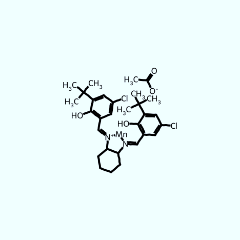 CC(=O)[O-].CC(C)(C)c1cc(Cl)cc(C=[N+]2[Mn][N+](=Cc3cc(Cl)cc(C(C)(C)C)c3O)C3CCCCC32)c1O